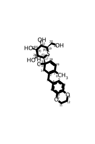 CC1=C(Cc2ccc3c(c2)OCCO3)CC(C)([C@@H]2S[C@H](CO)[C@@H](O)[C@H](O)[C@H]2O)C=C1